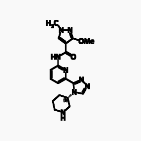 COc1nn(C)cc1C(=O)Nc1cccc(-c2nncn2[C@H]2CCCNC2)n1